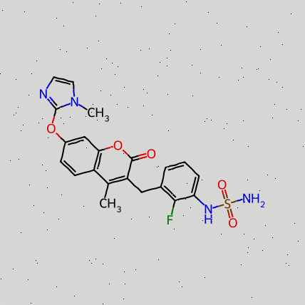 Cc1c(Cc2cccc(NS(N)(=O)=O)c2F)c(=O)oc2cc(Oc3nccn3C)ccc12